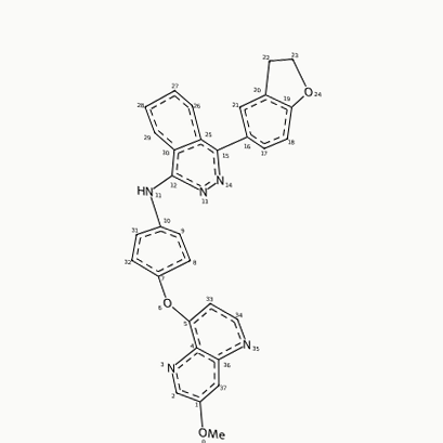 COc1cnc2c(Oc3ccc(Nc4nnc(-c5ccc6c(c5)CCO6)c5ccccc45)cc3)ccnc2c1